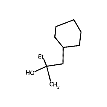 CCC(C)(O)CC1CCCCC1